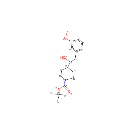 COc1cccc(CC(O)C2CCN(C(=O)OC(C)(C)C)CC2)c1